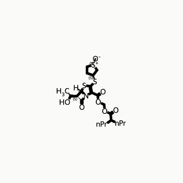 CCCC(CCC)C(=O)OCOC(=O)C1=C(S[C@H]2CC[S@@+]([O-])C2)S[C@@H]2[C@@H]([C@@H](C)O)C(=O)N12